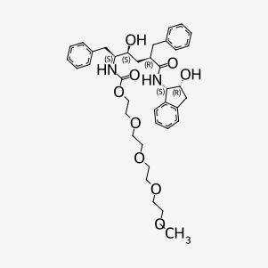 COCCOCCOCCOCCOC(=O)N[C@@H](Cc1ccccc1)[C@@H](O)C[C@@H](Cc1ccccc1)C(=O)N[C@H]1c2ccccc2C[C@H]1O